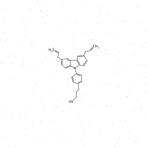 C=CCc1ccc2c(c1)c1cc(CC=C)ccc1n2-c1ccc(CCCS)cc1